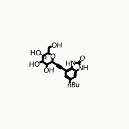 CCCCc1cc(C#CC2OC(CO)[C@@H](O)C(O)C2O)c2[nH]c(=O)[nH]c2c1